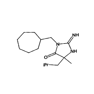 CC(C)CC1(C)NC(=N)N(CC2CCCCCC2)C1=O